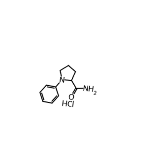 Cl.NC(=O)C1CCCN1c1ccccc1